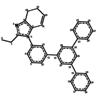 CCc1nc2c(n1-c1cccc(-c3cc(-c4ccccc4)cc(-c4ccccc4)c3)c1)C=CCC2